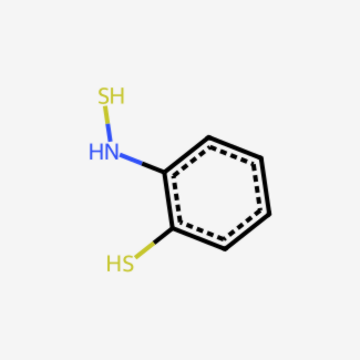 SNc1ccccc1S